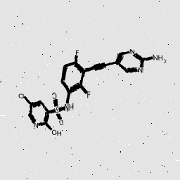 Nc1ncc(C#Cc2c(F)ccc(NS(=O)(=O)c3cc(Cl)cnc3O)c2F)cn1